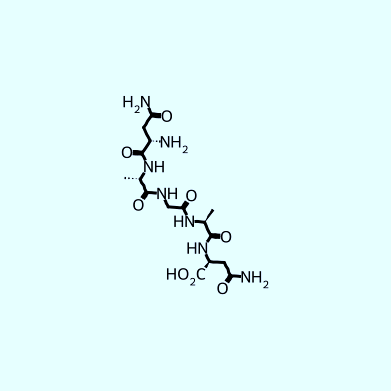 C[C@H](NC(=O)CNC(=O)[C@H](C)NC(=O)[C@@H](N)CC(N)=O)C(=O)N[C@@H](CC(N)=O)C(=O)O